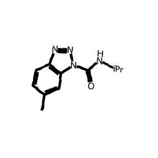 Cc1ccc2nnn(C(=O)NC(C)C)c2c1